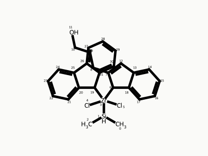 C[SiH](C)[Zr]([Cl])([Cl])([CH]1C(CCCO)=Cc2ccccc21)[CH]1c2ccccc2-c2ccccc21